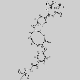 C=C1CC[C@@H](Oc2ccc(C3CC(=O)N(N)S(=O)(=O)C3)cc2)C/C=C\C=C/1Oc1ccc(OCCCS(C)(=O)=O)nc1C